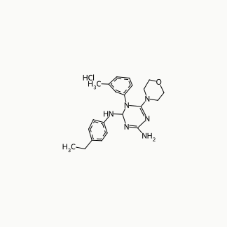 CCc1ccc(NC2N=C(N)N=C(N3CCOCC3)N2c2cccc(C)c2)cc1.Cl